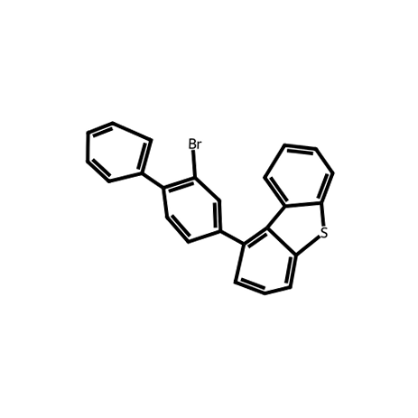 Brc1cc(-c2cccc3sc4ccccc4c23)ccc1-c1ccccc1